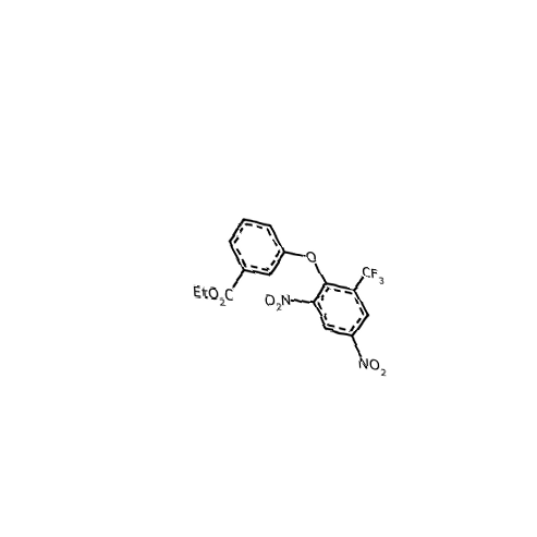 CCOC(=O)c1cccc(Oc2c([N+](=O)[O-])cc([N+](=O)[O-])cc2C(F)(F)F)c1